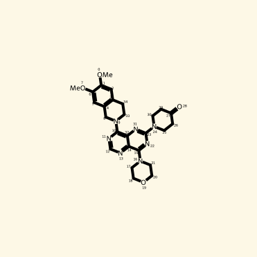 COc1cc2c(cc1OC)CN(c1ncnc3c(N4CCOCC4)nc(N4CCC(=O)CC4)nc13)CC2